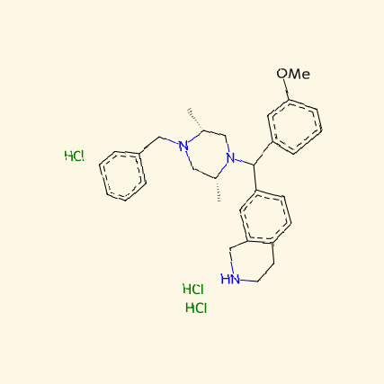 COc1cccc(C(c2ccc3c(c2)CNCC3)N2C[C@@H](C)N(Cc3ccccc3)C[C@H]2C)c1.Cl.Cl.Cl